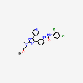 CCOCCN(C)c1nc(-c2cccc(NC(=O)Nc3ccc(Cl)cc3F)c2)c(-c2ccncc2)[nH]1